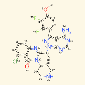 COc1ccc(-c2nn(C(C)c3nc4cccc(Cl)c4c(=O)n3C3CCNCC3)c3ncnc(N)c23)c(F)c1F